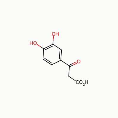 O=C(O)CC(=O)c1ccc(O)c(O)c1